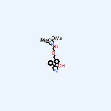 COC(CN(CCCC(C)C)C(=O)CCOCCc1ccc(O)c(C2(c3ccccc3)CCN(C)CC2)c1)OC